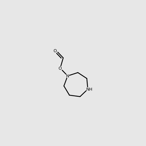 O=CON1CCCNCC1